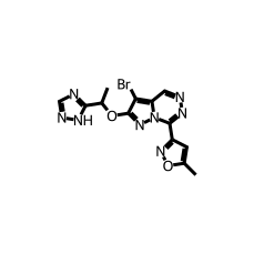 Cc1cc(-c2nncc3c(Br)c(OC(C)c4ncn[nH]4)nn23)no1